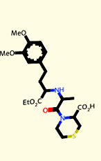 CCOC(=O)C(CCc1ccc(OC)c(OC)c1)NC(C)C(=O)N1CCSCC1C(=O)O